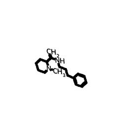 C=C(NCCCc1ccccc1)C1CCCCN1C